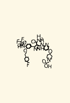 NC(=O)c1c(-c2ccc(NS(=O)(=O)C(F)F)c(OCCc3ccc(F)cc3)c2)n[nH]c1Nc1ccc(OC2CCN(CC(=O)O)CC2)cn1